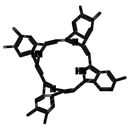 Cc1ccc2c3cc4nc(cc5[nH]c(cc6nc(cc([nH]3)c2c1)-c1cc(C)c(C)cc1-6)c1cc(C)c(C)cc51)-c1cc(C)c(C)cc1-4